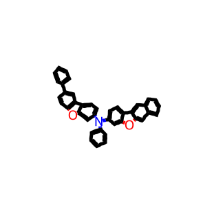 c1ccc(-c2ccc3oc4cc(N(c5ccccc5)c5ccc6c(c5)oc5cc7ccccc7cc56)ccc4c3c2)cc1